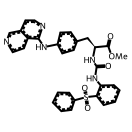 COC(=O)[C@H](Cc1ccc(Nc2nccc3cnccc23)cc1)NC(=O)Nc1ccccc1S(=O)(=O)c1ccccc1